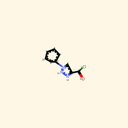 O=C(Cl)c1cn(-c2ccccc2)nn1